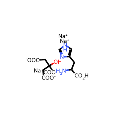 NC(Cc1c[nH]cn1)C(=O)O.O=C([O-])CC(O)(CC(=O)[O-])C(=O)[O-].[Na+].[Na+].[Na+]